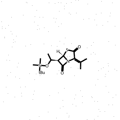 CC(C)=C1C(=O)S[C@@H]2[C@H](C(C)O[Si](C)(C)C(C)(C)C)C(=O)N12